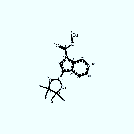 CC(C)(C)OC(=O)n1cc(B2OC(C)(C)C(C)(C)O2)c2ccncc21